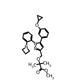 COC(=O)C(C)(C)OCc1cc(-c2cccc(OC3CC3)c2)n(-c2ccccc2N2CCC2)n1